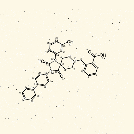 O=C(O)c1cccnc1CN1CCC2(CC1)C(=O)N(c1ccc(-c3ccccc3)cc1)C(=O)N2c1cc(O)ncn1